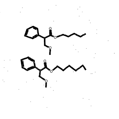 CCCCCCOC(=O)C(COC)c1ccccc1.CCCCCOC(=O)C(COC)c1ccccc1